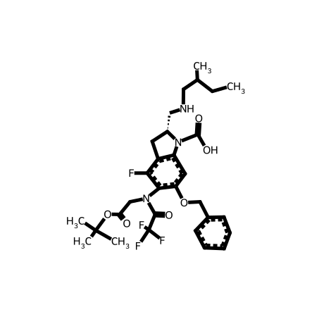 CCC(C)CNC[C@H]1Cc2c(cc(OCc3ccccc3)c(N(CC(=O)OC(C)(C)C)C(=O)C(F)(F)F)c2F)N1C(=O)O